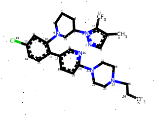 Cc1cnn(C2CCCN(c3cc(Cl)ccc3-c3ccc(N4CCN(CCC(F)(F)F)CC4)nc3)C2)c1C(F)(F)F